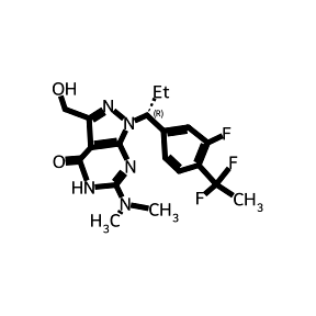 CC[C@H](c1ccc(C(C)(F)F)c(F)c1)n1nc(CO)c2c(=O)[nH]c(N(C)C)nc21